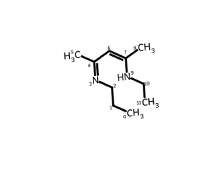 CCC/N=C(C)\C=C(\C)NCC